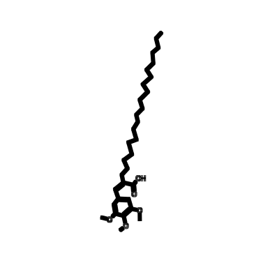 CCCCCCCCCCCCCCCCCCCCC(=Cc1cc(OC)c(OC)c(OC)c1)C(=O)O